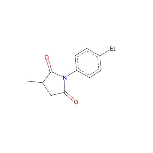 CCc1ccc(N2C(=O)CC(C)C2=O)cc1